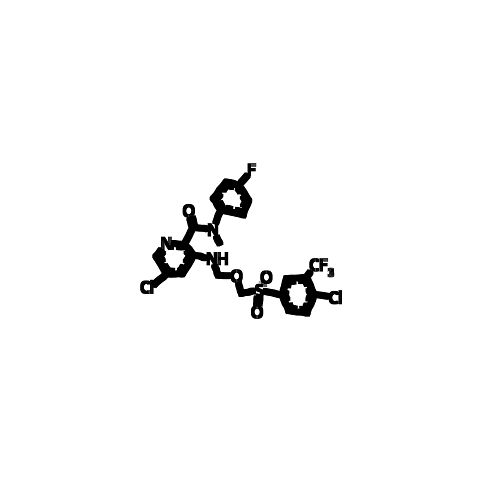 CN(C(=O)c1ncc(Cl)cc1NCOCS(=O)(=O)c1ccc(Cl)c(C(F)(F)F)c1)c1ccc(F)cc1